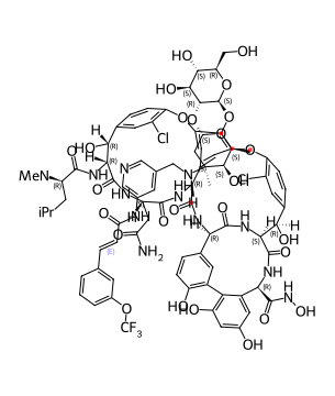 CN[C@H](CC(C)C)C(=O)N[C@H]1C(=O)N[C@@H](CC(N)=O)C(=O)N[C@H]2C(=O)N[C@H]3C(=O)N[C@H](C(=O)N[C@@H](C(=O)NO)c4cc(O)cc(O)c4-c4cc3ccc4O)[C@H](O)c3ccc(c(Cl)c3)Oc3cc2cc(c3O[C@@H]2O[C@H](CO)[C@@H](O)[C@H](O)[C@H]2O[C@H]2C[C@](C)(NCc3cncc(NC(=O)/C=C/c4cccc(OC(F)(F)F)c4)c3)[C@H](O)[C@H](C)O2)Oc2ccc(cc2Cl)[C@H]1O